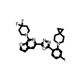 FC1(F)CCN(c2nc(-c3nnc(-c4ccc(I)cc4N4CCC5(CC4)CC5)o3)cc3ccoc23)CC1